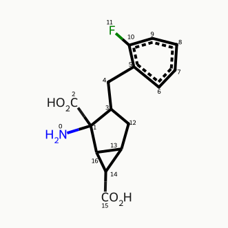 NC1(C(=O)O)C(Cc2ccccc2F)CC2C(C(=O)O)C21